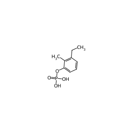 CCc1cccc(OP(=O)(O)O)c1C